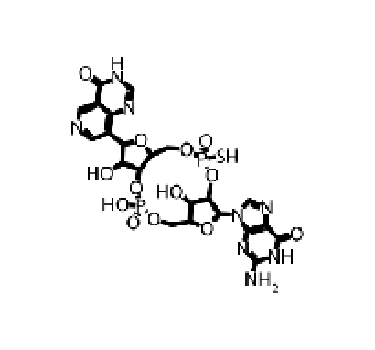 Nc1nc2c(ncn2C2OC3COP(=O)(O)OC4C(COP(=O)(S)OC2C3O)OC(c2cncc3c(=O)[nH]cnc23)C4O)c(=O)[nH]1